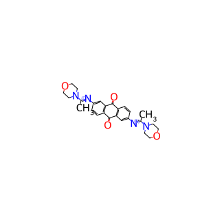 C/C(=N\c1ccc2c(c1)C(=O)c1ccc(/N=C(\C)N3CCOCC3)cc1C2=O)N1CCOCC1